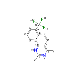 Cc1nc(C)c2ccc3c(C(F)(F)F)cccc3c2n1